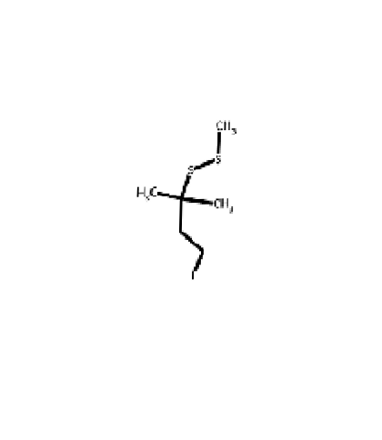 CSSC(C)(C)CCI